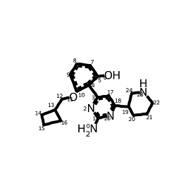 Nc1nc(-c2c(O)cccc2OCC2CCC2)cc(C2CCCNC2)n1